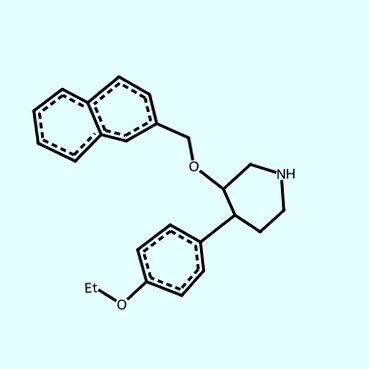 [CH2]COc1ccc(C2CCNCC2OCc2ccc3ccccc3c2)cc1